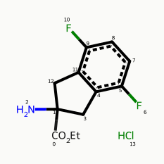 CCOC(=O)C1(N)Cc2c(F)ccc(F)c2C1.Cl